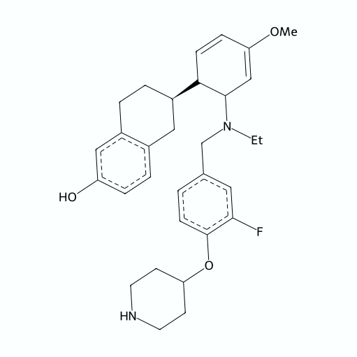 CCN(Cc1ccc(OC2CCNCC2)c(F)c1)C1C=C(OC)C=CC1[C@@H]1CCc2cc(O)ccc2C1